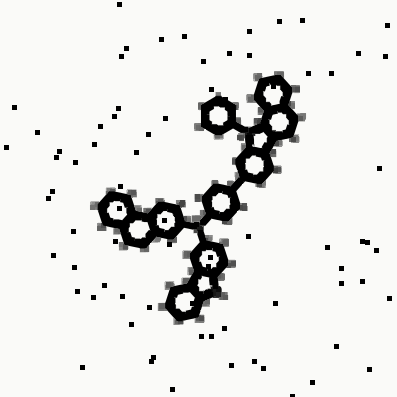 c1ccc(-n2c3cc(-c4ccc(N(c5ccc6c(ccc7ccccc76)c5)c5ccc6oc7ccccc7c6c5)cc4)ccc3c3ccc4ccccc4c32)cc1